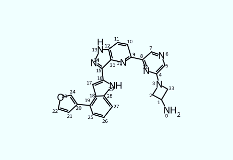 NC1CN(c2cncc(-c3ccc4[nH]nc(-c5cc6c(-c7ccoc7)cccc6[nH]5)c4n3)n2)C1